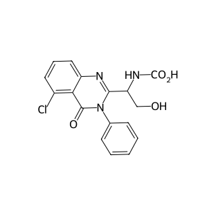 O=C(O)NC(CO)c1nc2cccc(Cl)c2c(=O)n1-c1ccccc1